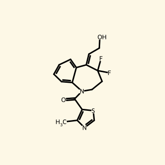 Cc1ncsc1C(=O)N1CCC(F)(F)C(=CCO)c2ccccc21